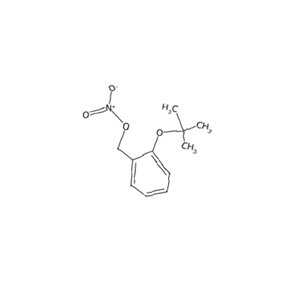 CC(C)(C)Oc1ccccc1CO[N+](=O)[O-]